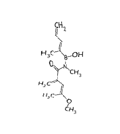 C=C/C=C(\C)B(O)N(C)C(=O)C(=C)/C=C(\C)OC